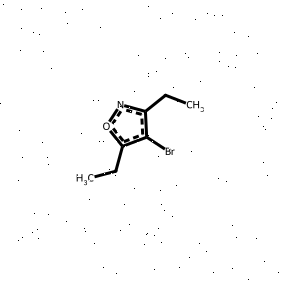 CCc1noc(CC)c1Br